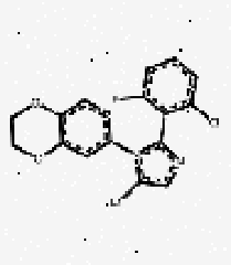 CCc1cnc(-c2c(F)cccc2Cl)n1-c1ccc2c(c1)OCCO2